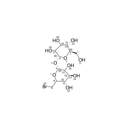 OC[C@H]1O[C@H](O[C@H]2OC(CBr)[C@@H](O)[C@H](O)C2O)C(O)C(O)[C@@H]1O